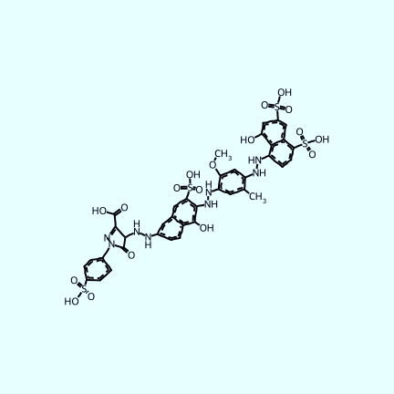 COc1cc(NNc2ccc(S(=O)(=O)O)c3cc(S(=O)(=O)O)cc(O)c23)c(C)cc1NNc1c(S(=O)(=O)O)cc2cc(NNC3C(=O)N(c4ccc(S(=O)(=O)O)cc4)N=C3C(=O)O)ccc2c1O